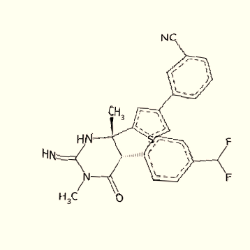 CN1C(=N)N[C@](C)(c2cc(-c3cccc(C#N)c3)cs2)[C@H](c2ccc(C(F)F)cc2)C1=O